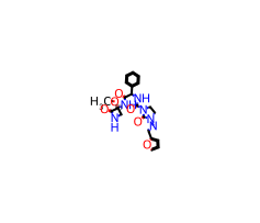 CO[C@]1(NC(=O)C(NC(=O)N2CCN(N=Cc3ccco3)C2=O)c2ccccc2)CNC1=O